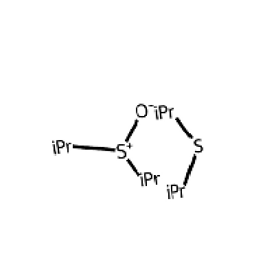 CC(C)SC(C)C.CC(C)[S+]([O-])C(C)C